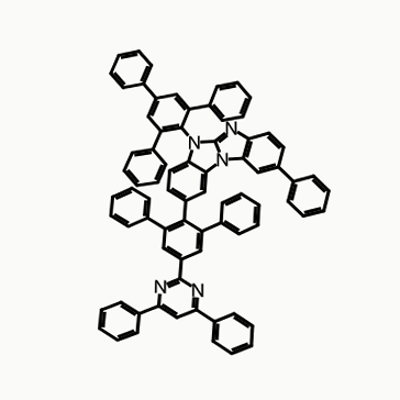 c1ccc(-c2cc(-c3ccccc3)c(-n3c4ccc(-c5c(-c6ccccc6)cc(-c6nc(-c7ccccc7)cc(-c7ccccc7)n6)cc5-c5ccccc5)cc4n4c5cc(-c6ccccc6)ccc5nc34)c(-c3ccccc3)c2)cc1